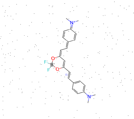 CN(C)c1ccc(/C=C/C2=CC(=CC=C3C=CC(=[N+](C)C)C=C3)O[B-](F)(F)O2)cc1